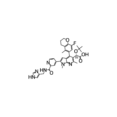 Cc1nc2c(cc(-c3ccnc(C(=O)NCc4c[nH]cn4)c3)n2C)c(-c2cc(F)c3c(c2C)CCCO3)c1[C@H](OC(C)(C)C)C(=O)O